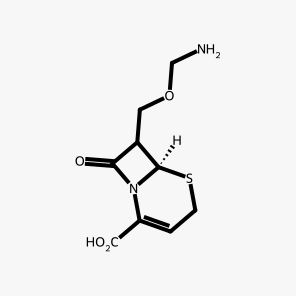 NCOCC1C(=O)N2C(C(=O)O)=CCS[C@H]12